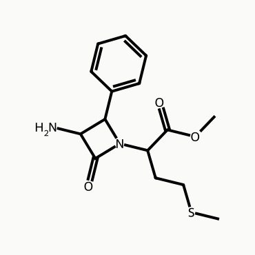 COC(=O)C(CCSC)N1C(=O)C(N)C1c1ccccc1